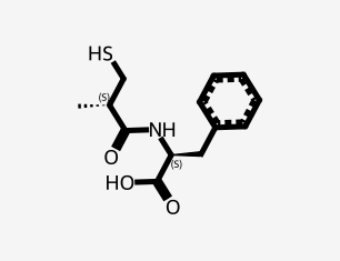 C[C@H](CS)C(=O)N[C@@H](Cc1ccccc1)C(=O)O